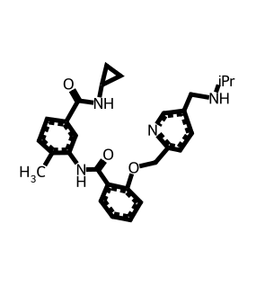 Cc1ccc(C(=O)NC2CC2)cc1NC(=O)c1ccccc1OCc1ccc(CNC(C)C)cn1